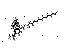 CCCCCCCCCCCCCCCCOc1ccc(C(=O)OC)cc1S(=O)(=O)OC(C)(C)C